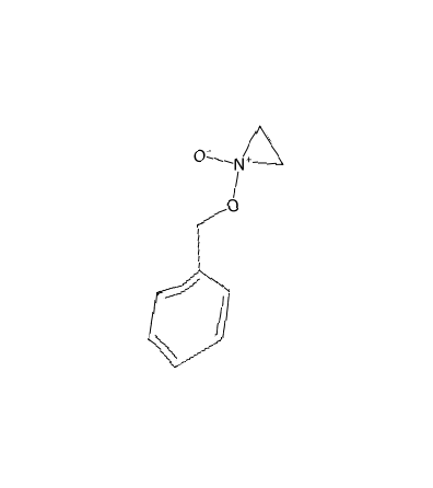 [O-][N+]1(OCc2ccccc2)CC1